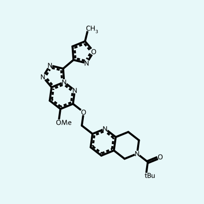 COc1cc2nnc(-c3cc(C)on3)n2nc1OCc1ccc2c(n1)CCN(C(=O)C(C)(C)C)C2